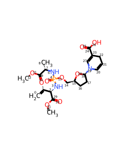 C=C[C@H](NP(=O)(N[C@@H](C)C(=O)OC)OC[C@@H]1CC[C@H](N2C=CCC(C(=O)O)=C2)O1)C(=O)OC